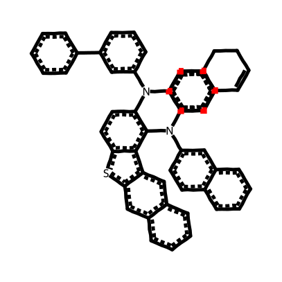 C1=Cc2ccc(N(c3cccc(-c4ccccc4)c3)c3ccc4sc5cc6ccccc6cc5c4c3N(c3ccccc3)c3ccc4ccccc4c3)cc2CC1